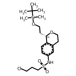 CC(C)(C)[Si](C)(C)OCC[C@@H]1OCCc2cc(NS(=O)(=O)CCCCl)ccc21